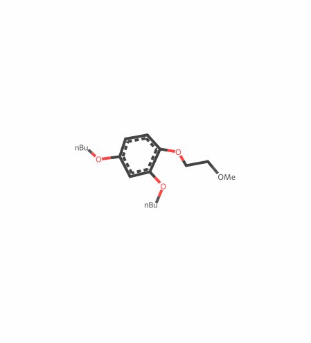 CCCCOc1ccc(OCCOC)c(OCCCC)c1